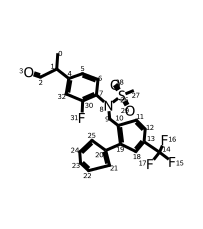 CC(C=O)c1ccc(N(Cc2ccc(C(F)(F)F)cc2-c2ccccc2)S(C)(=O)=O)c(F)c1